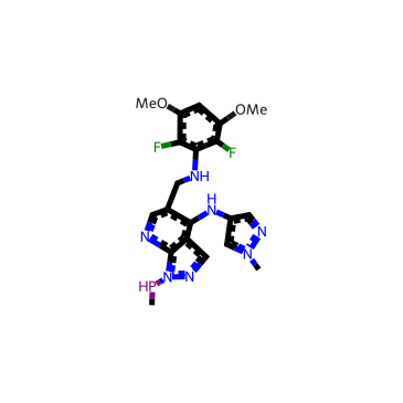 COc1cc(OC)c(F)c(NCc2cnc3c(cnn3PC)c2Nc2cnn(C)c2)c1F